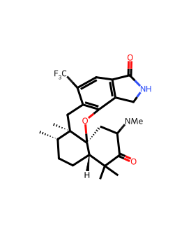 CNC1C[C@@]23Oc4c5c(cc(C(F)(F)F)c4C[C@]2(C)[C@@H](C)CC[C@H]3C(C)(C)C1=O)C(=O)NC5